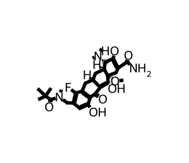 CO[C@@]12CC(C(N)=O)=C(O)[C@@H](N(C)C)[C@@H]1C[C@@H]1Cc3c(F)c(CN(C)C(=O)C(C)(C)C)cc(O)c3C(=O)C1=C2O